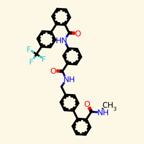 CNC(=O)c1ccccc1-c1ccc(CNC(=O)c2cccc(NC(=O)c3ccccc3-c3ccc(C(F)(F)F)cc3)c2)cc1